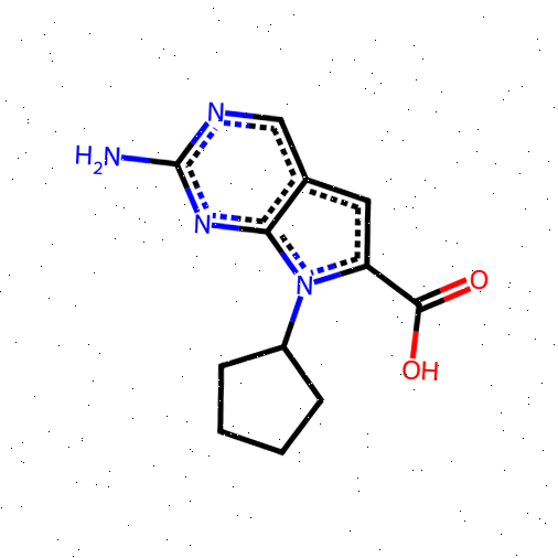 Nc1ncc2cc(C(=O)O)n(C3CCCC3)c2n1